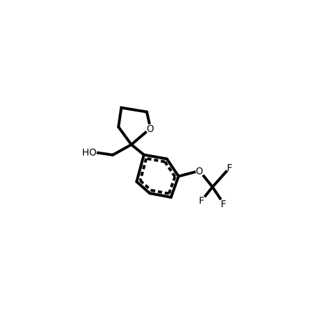 OCC1(c2cccc(OC(F)(F)F)c2)CCCO1